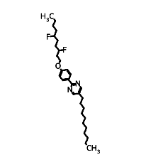 CCCCCCCCCCCc1cnc(-c2ccc(OCCC(F)CCC(F)CCCC)cc2)nc1